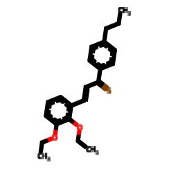 CCCc1ccc(C(=S)C=Cc2cccc(OCC)c2OCC)cc1